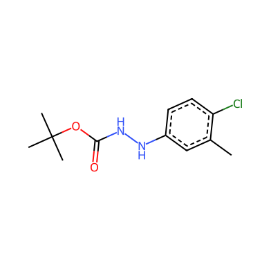 Cc1cc(NNC(=O)OC(C)(C)C)ccc1Cl